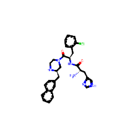 N[C@@H](Cc1c[nH]cn1)C(=O)N[C@H](Cc1ccccc1Cl)C(=O)N1CCN[C@H](Cc2ccc3ccccc3c2)C1